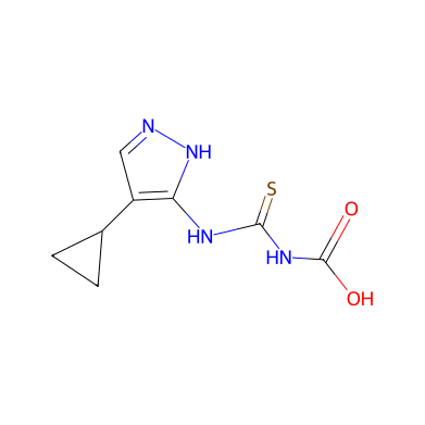 O=C(O)NC(=S)Nc1[nH]ncc1C1CC1